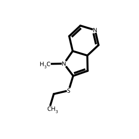 CCSC1=CC2C=NC=CC2N1C